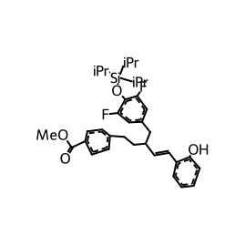 COC(=O)c1ccc(CCC(C=Cc2ccccc2O)Cc2cc(F)c(O[Si](C(C)C)(C(C)C)C(C)C)c(F)c2)cc1